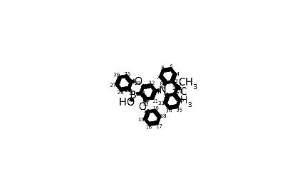 CC1(C)c2ccccc2N(c2cc(Oc3ccccc3)c3c(c2)Oc2ccccc2B3O)c2ccccc21